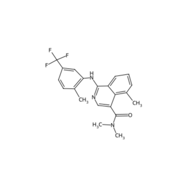 Cc1ccc(C(F)(F)F)cc1Nc1ncc(C(=O)N(C)C)c2c(C)cccc12